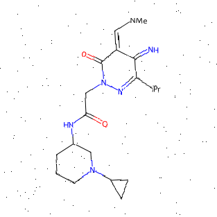 CN/C=C1\C(=N)C(C(C)C)=NN(CC(=O)NC2CCCN(C3CC3)C2)C1=O